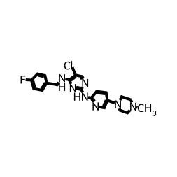 CN1CCN(c2ccc(Nc3ncc(Cl)c(NCc4ccc(F)cc4)n3)nc2)CC1